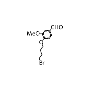 COc1cc(C=O)ccc1OCCCCBr